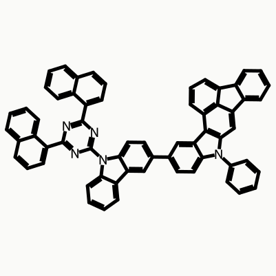 c1ccc(-n2c3ccc(-c4ccc5c(c4)c4ccccc4n5-c4nc(-c5cccc6ccccc56)nc(-c5cccc6ccccc56)n4)cc3c3c4cccc5c4c(cc32)-c2ccccc2-5)cc1